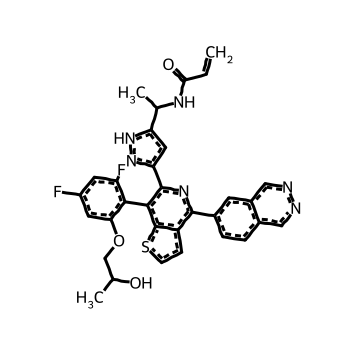 C=CC(=O)NC(C)c1cc(-c2nc(-c3ccc4cnncc4c3)c3ccsc3c2-c2c(F)cc(F)cc2OCC(C)O)n[nH]1